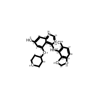 Oc1cc(OC2CCOCC2)c2c(Nc3c(Cl)ccc4c3OCO4)ncnc2c1